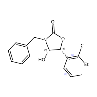 C/C=C\C(=C(\Cl)CC)[C@H]1OC(=O)N(Cc2ccccc2)[C@H]1O